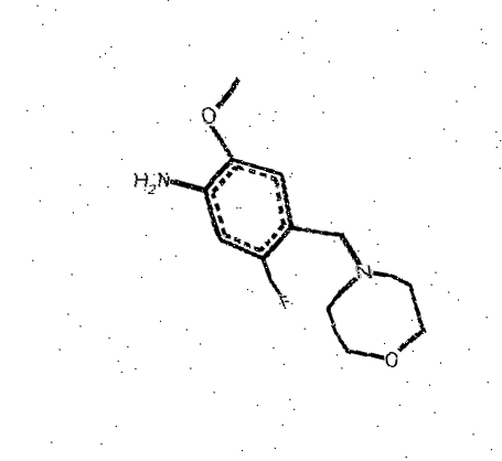 COc1cc(CN2CCOCC2)c(F)cc1N